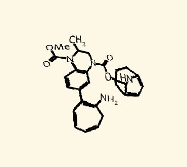 COC(=O)N1c2ccc(C3=C(N)CC=CC=C3)cc2N(C(=O)OC2NC3=CC=C2CCC3)CC1C